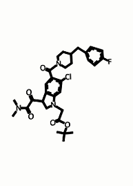 CN(C)C(=O)C(=O)C1CN(CC(=O)OC(C)(C)C)c2cc(Cl)c(C(=O)N3CCC(Cc4ccc(F)cc4)CC3)cc21